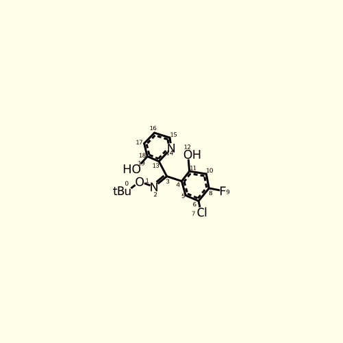 CC(C)(C)ON=C(c1cc(Cl)c(F)cc1O)c1ncccc1O